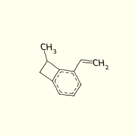 C=Cc1cccc2c1C(C)C2